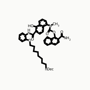 CCCCCCCCCCCCCCCCCCOc1ccccc1NC(=O)c1ccc2c(N(C)C(=O)Oc3c(C(N)=O)ccc4ccccc34)cccc2c1O